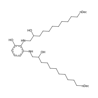 CCCCCCCCCCCCCCCCCCCC(O)CNc1cccc(O)c1NCC(O)CCCCCCCCCCCCCCCCCCC